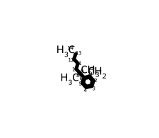 [CH2]c1ccccc1C(C)(C)CCCCC